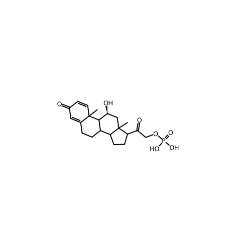 CC12C=CC(=O)C=C1CCC1C2[C@@H](O)CC2(C)C(C(=O)COP(=O)(O)O)CCC12